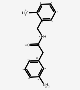 Cc1ccccc1CNC(=O)Cc1cccc(N)c1